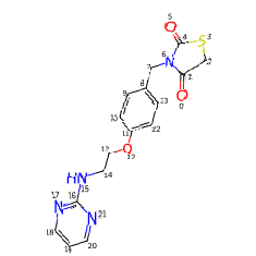 O=C1CSC(=O)N1Cc1ccc(OCCNc2ncccn2)cc1